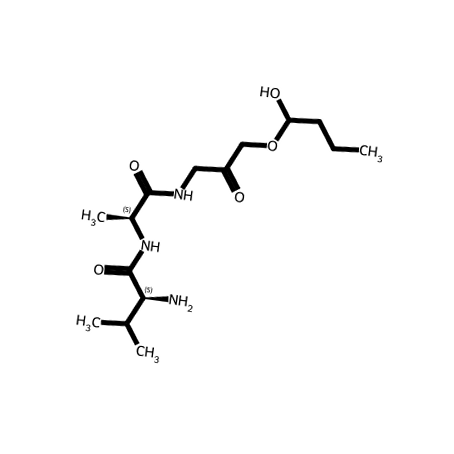 CCCC(O)OCC(=O)CNC(=O)[C@H](C)NC(=O)[C@@H](N)C(C)C